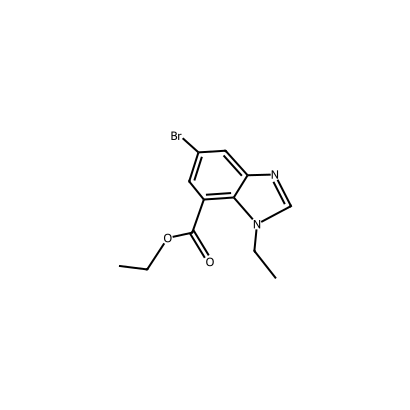 CCOC(=O)c1cc(Br)cc2ncn(CC)c12